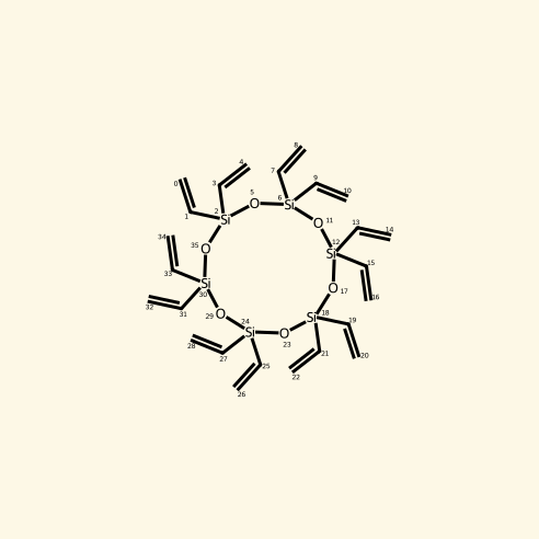 C=C[Si]1(C=C)O[Si](C=C)(C=C)O[Si](C=C)(C=C)O[Si](C=C)(C=C)O[Si](C=C)(C=C)O[Si](C=C)(C=C)O1